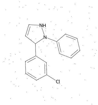 Clc1cccc(C2C=CNN2c2ccccc2)c1